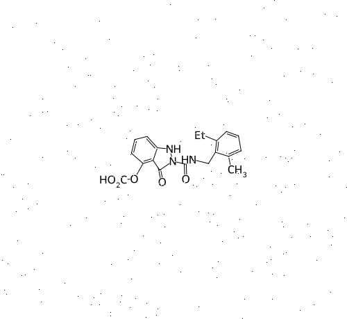 CCc1cccc(C)c1CNC(=O)n1[nH]c2cccc(OC(=O)O)c2c1=O